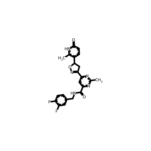 Cc1nc(C(=O)NCc2ccc(F)c(F)c2)cc(C2=NOC(c3ccc(=O)[nH]c3C)C2)n1